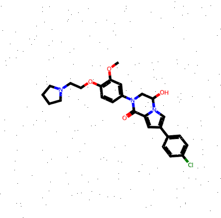 COc1cc(N2CC(O)n3cc(-c4ccc(Cl)cc4)cc3C2=O)ccc1OCCN1CCCC1